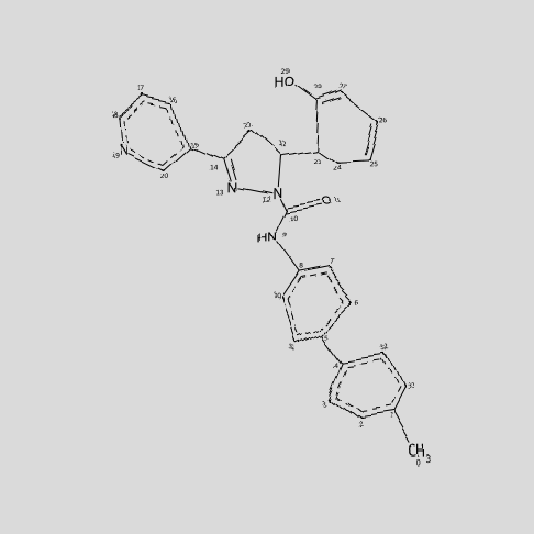 Cc1ccc(-c2ccc(NC(=O)N3N=C(c4cccnc4)CC3C3CC=CC=C3O)cc2)cc1